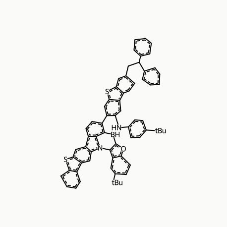 CC(C)(C)c1ccc(Nc2cc3c(cc2-c2ccc4c5cc6sc7ccccc7c6cc5n5c4c2Bc2oc4ccc(C(C)(C)C)cc4c2-5)sc2cc(CC(c4ccccc4)c4ccccc4)ccc23)cc1